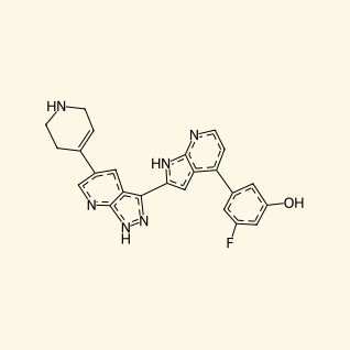 Oc1cc(F)cc(-c2ccnc3[nH]c(-c4n[nH]c5ncc(C6=CCNCC6)cc45)cc23)c1